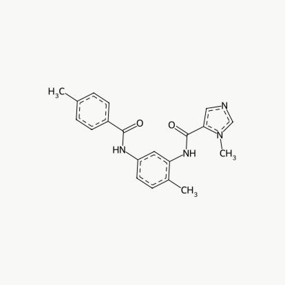 Cc1ccc(C(=O)Nc2ccc(C)c(NC(=O)c3cncn3C)c2)cc1